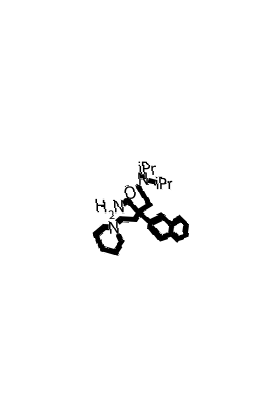 CC(C)N(CCC(CCN1CCCCC1)(C(N)=O)c1ccc2ccccc2c1)C(C)C